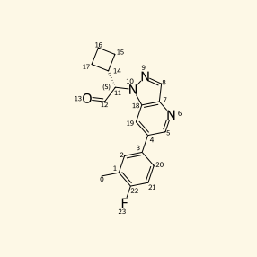 Cc1cc(-c2cnc3cnn([C@H](C=O)C4CCC4)c3c2)ccc1F